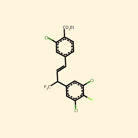 CCOC(=O)c1ccc(/C=C/C(c2cc(Cl)c(F)c(Cl)c2)C(F)(F)F)cc1Cl